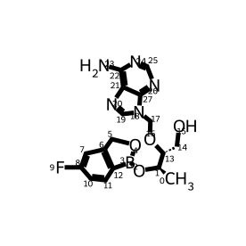 C[C@@H](OB1OCc2cc(F)ccc21)[C@@H](CO)OCn1cnc2c(N)ncnc21